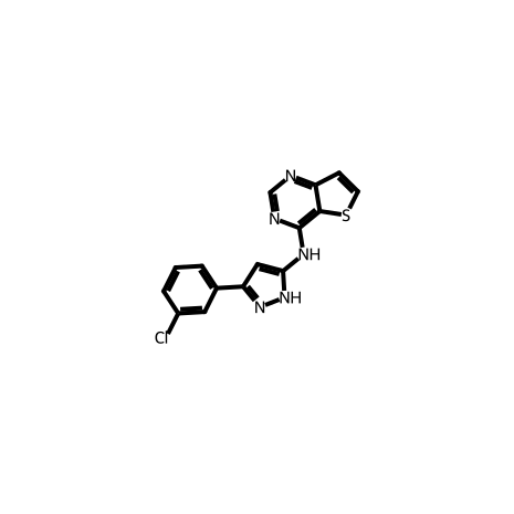 Clc1cccc(-c2cc(Nc3ncnc4ccsc34)[nH]n2)c1